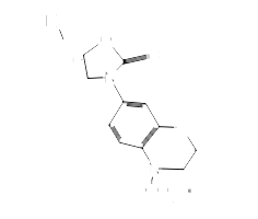 C[C@H]1COc2cc(N3C[C@H](CO)OC3=O)ccc2N1C(=O)O